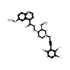 COc1ccc2nccc(C(F)CC[C@@H]3CCN(CC#Cc4c(F)ccc(F)c4F)C[C@@H]3CO)c2c1